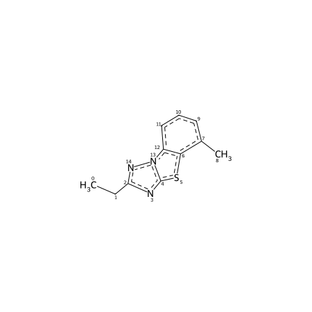 CCc1nc2sc3c(C)cccc3n2n1